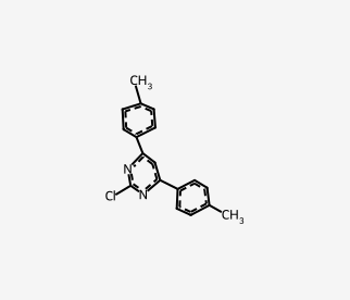 Cc1ccc(-c2cc(-c3ccc(C)cc3)nc(Cl)n2)cc1